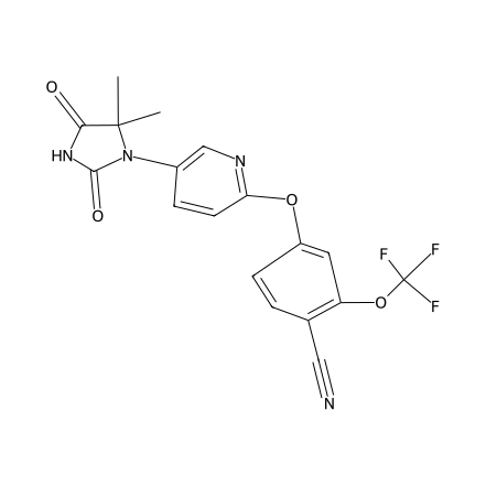 CC1(C)C(=O)NC(=O)N1c1ccc(Oc2ccc(C#N)c(OC(F)(F)F)c2)nc1